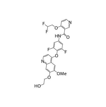 COc1cc2c(Oc3c(F)cc(NC(=O)c4cnccc4OCC(F)F)cc3F)ccnc2cc1OCCO